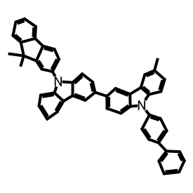 Cc1ccc2c(c1)c1cc(-c3ccc4c(c3)c3ccccc3n4-c3ccc4c(c3)C(C)(C)c3ccccc3-4)ccc1n2-c1ccc(-c2ccccc2)cc1